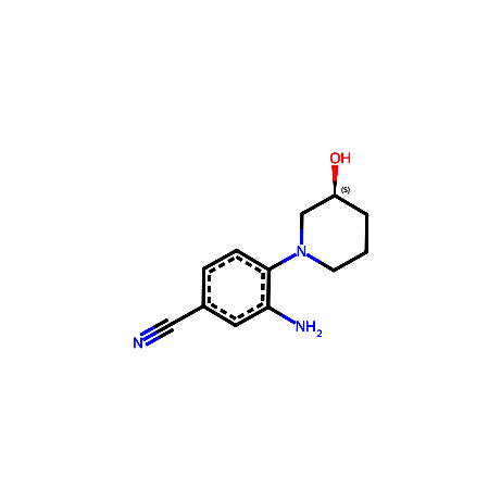 N#Cc1ccc(N2CCC[C@H](O)C2)c(N)c1